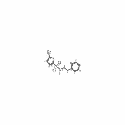 O=S(=O)(NCCc1ccccc1)c1ccc(Br)s1